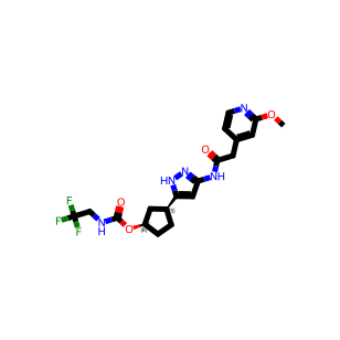 COc1cc(CC(=O)Nc2cc([C@H]3CC[C@@H](OC(=O)NCC(F)(F)F)C3)[nH]n2)ccn1